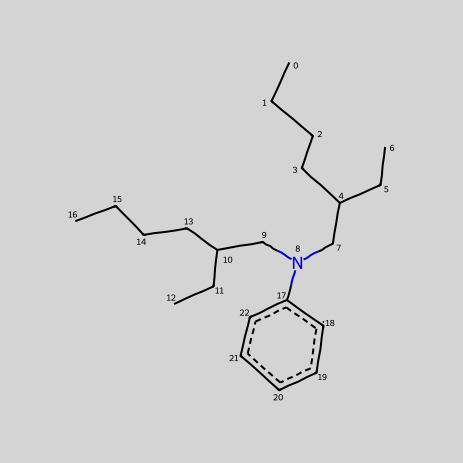 CCCCC(CC)CN(CC(CC)CCCC)c1[c]cccc1